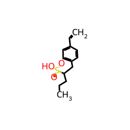 C=Cc1ccc(CC(CCC)S(=O)(=O)O)cc1